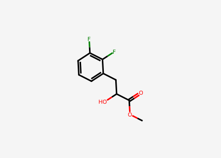 COC(=O)C(O)Cc1cccc(F)c1F